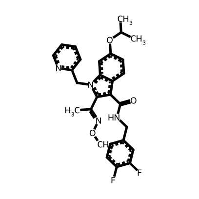 CON=C(C)c1c(C(=O)NCc2ccc(F)c(F)c2)c2ccc(OC(C)C)cc2n1Cc1ccccn1